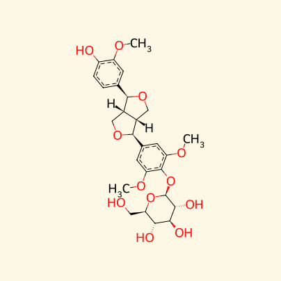 COc1cc([C@H]2OC[C@H]3[C@@H]2CO[C@@H]3c2cc(OC)c(O[C@@H]3O[C@H](CO)[C@@H](O)[C@H](O)[C@H]3O)c(OC)c2)ccc1O